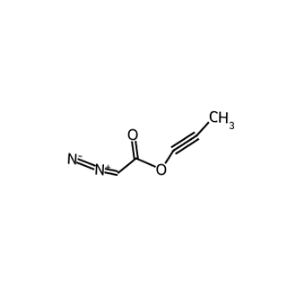 CC#COC(=O)C=[N+]=[N-]